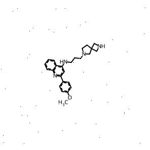 COc1ccc(-c2cc(NCCCN3CCC4(CNC4)C3)c3ccccc3n2)cc1